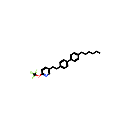 CCCCCCc1ccc(-c2ccc(CCc3ccc(OC(F)(F)F)nc3)cc2)cc1